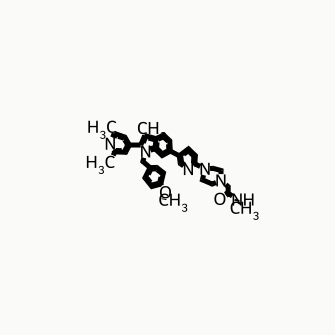 CNC(=O)CN1CCN(c2ccc(-c3ccc4c(C)c(-c5cc(C)nc(C)c5)n(Cc5ccc(OC)cc5)c4c3)cn2)CC1